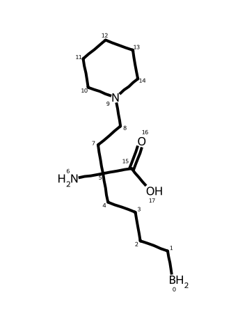 BCCCCC(N)(CCN1CCCCC1)C(=O)O